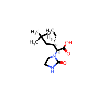 CC[C@@H](CC(C)(C)C)[C@@H](C(=O)O)N1CCNC1=O